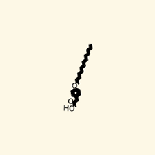 CCCCCCCCCCCCCCOc1ccc(CC(=O)CO)cc1